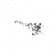 CCCCCCCCc1ccc2c(c1)CC(C(NC(C)=O)(C(=O)OCC)C(=O)OCC)C2=O